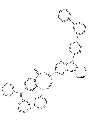 C=C1/C=C(c2ccc3c(c2)c2ccccc2n3-c2ccc(-c3cccc(-c4ccccc4)c3)cc2)\C=C/N(c2ccccc2)c2cc([SiH](c3ccccc3)c3ccccc3)ccc21